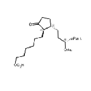 CCCCC[C@@H](CC[C@H]1CCC(=O)[C@@H]1CCCCCCC(=O)O)OC(C)=O